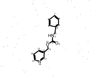 O=C(NCc1ccccc1)OCc1cccnc1